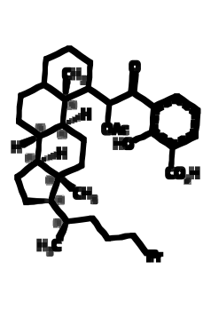 CC(=O)OC(C(=O)c1cccc(C(=O)O)c1O)C1CCCC2CC[C@@H]3[C@H](CC[C@]4(C)[C@@H]([C@H](C)CCCC(C)C)CC[C@@H]34)[C@]21C